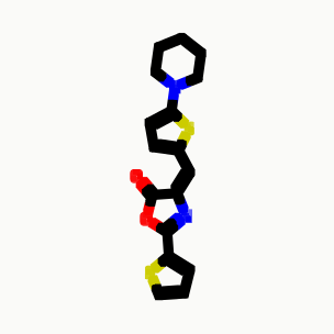 O=C1OC(c2cccs2)=NC1=Cc1ccc(N2CCCCC2)s1